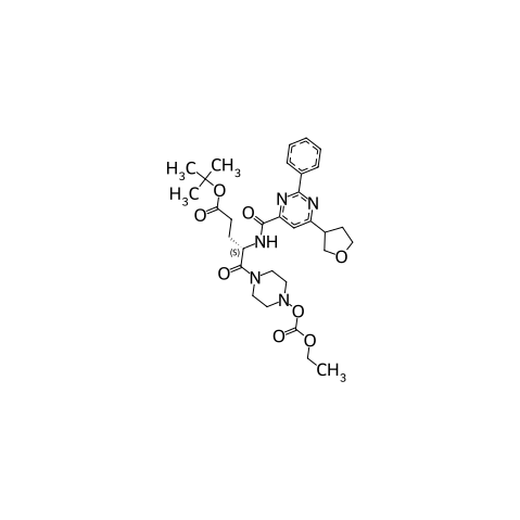 CCOC(=O)ON1CCN(C(=O)[C@H](CCC(=O)OC(C)(C)C)NC(=O)c2cc(C3CCOC3)nc(-c3ccccc3)n2)CC1